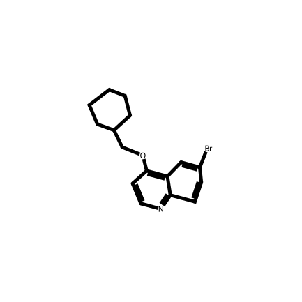 Brc1ccc2nccc(OCC3CCCCC3)c2c1